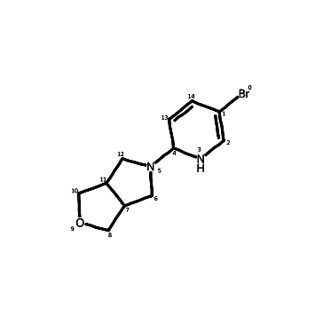 BrC1=CNC(N2CC3COCC3C2)C=C1